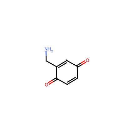 NCC1=[C]C(=O)C=CC1=O